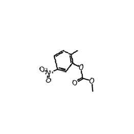 COC(=O)Oc1cc([N+](=O)[O-])ccc1C